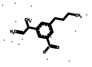 [CH2]C(C=C)c1cc(CCCC)cc([N+](=O)[O-])c1